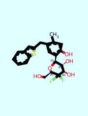 Cc1cc(O)c([C@@H]2O[C@H](CO)C(F)(F)[C@H](O)[C@H]2O)cc1Cc1cc2ccccc2s1